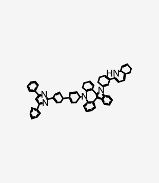 C1=CC2NC(C3=CCCC(n4c5c(c6ccccc64)-c4ccccc4N(C4C=CC(C6C=CC(c7nc(-c8ccccc8)cc(-c8ccccc8)n7)=CC6)=CC4)C4=C5C=CCC4)=C3)=CC=C2CC1